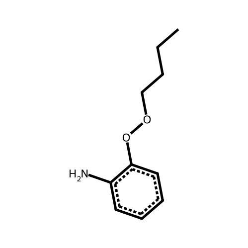 CCCCOOc1ccccc1N